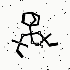 C=C[Si](C)(C)OC(O[SiH3])(O[Si](C)(C)C=C)C12C=CC(CC1)C2